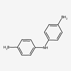 Bc1ccc(Nc2ccc(B)cc2)cc1